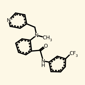 CN(Cc1ccncc1)c1ccccc1C(=O)Nc1cccc(C(F)(F)F)c1